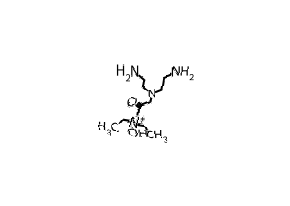 CC[N+](O)(CC)C(=O)CN(CCN)CCN